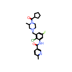 Cc1ccc(C(=O)Nc2cc(F)cc(CN3CCN(C(=O)C4CCCC4)C(C)C3)c2Cl)cn1